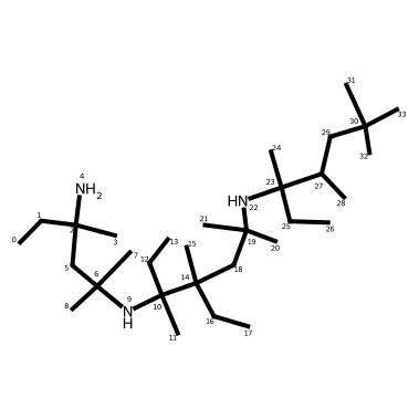 CCC(C)(N)CC(C)(C)NC(C)(CC)C(C)(CC)CC(C)(C)NC(C)(CC)C(C)CC(C)(C)C